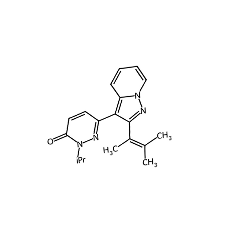 CC(C)=C(C)c1nn2ccccc2c1-c1ccc(=O)n(C(C)C)n1